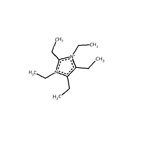 CCc1c(CC)[n+](CC)c(CC)n1CC